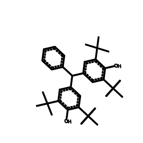 CC(C)(C)c1cc(C(c2ccccc2)c2cc(C(C)(C)C)c(O)c(C(C)(C)C)c2)cc(C(C)(C)C)c1O